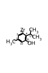 Cc1ccc(C(C)C)c(O)c1.[Zr]